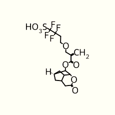 C=C(COCCC(F)(F)C(F)(F)S(=O)(=O)O)C(=O)OC1C2OC(=O)CC3C[C@H]1CC32